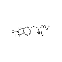 N[C@H](Cc1ccc2[nH]c(=O)oc2c1)C(=O)O